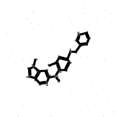 Cc1cc(OCc2cccnc2)ccc1N(C)c1cc2c(cn1)ncn2C